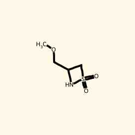 COCC1CS(=O)(=O)N1